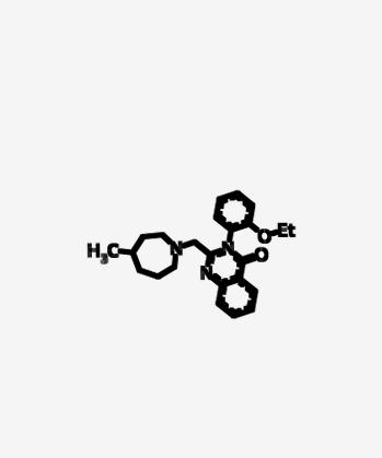 CCOc1ccccc1-n1c(CN2CCCC(C)CC2)nc2ccccc2c1=O